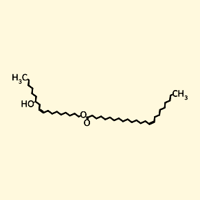 CCCCCCCC/C=C\CCCCCCCCCCCCCC(=O)OCCCCCCCC/C=C\C[C@H](O)CCCCCC